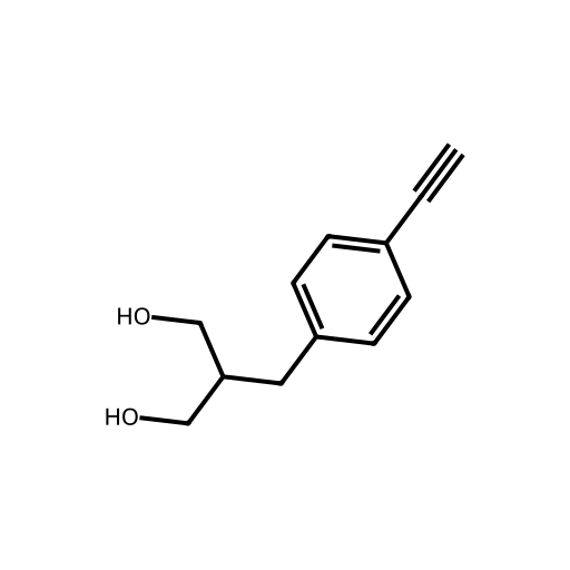 C#Cc1ccc(CC(CO)CO)cc1